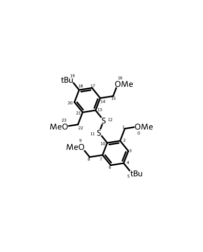 COCc1cc(C(C)(C)C)cc(COC)c1SSc1c(COC)cc(C(C)(C)C)cc1COC